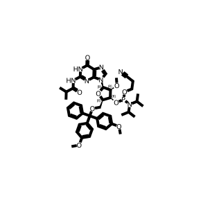 COc1ccc(C(OC[C@H]2O[C@@H](n3cnc4c(=O)[nH]c(NC(=O)C(C)C)nc43)[C@H](OC)[C@@H]2OP(OCCC#N)N(C(C)C)C(C)C)(c2ccccc2)c2ccc(OC)cc2)cc1